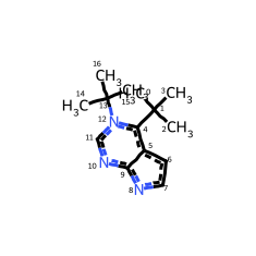 CC(C)(C)c1c2ccnc-2ncn1C(C)(C)C